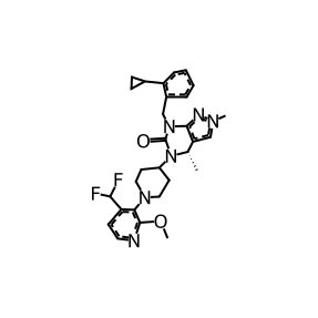 COc1nccc(C(F)F)c1N1CCC(N2C(=O)N(Cc3ccccc3C3CC3)c3nn(C)cc3[C@@H]2C)CC1